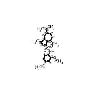 COc1ccc(NS(=O)(=O)c2cc(C)c3cc(C(C)C)ccc(C)c2-3)c(OC)c1